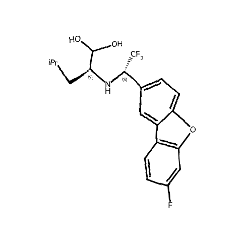 CC(C)C[C@H](N[C@@H](c1ccc2oc3cc(F)ccc3c2c1)C(F)(F)F)C(O)O